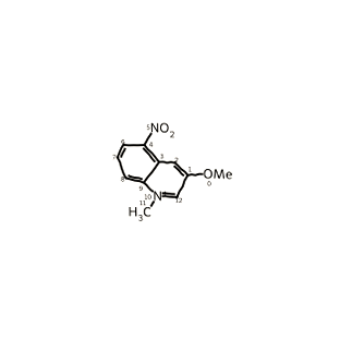 COc1cc2c([N+](=O)[O-])cccc2[n+](C)c1